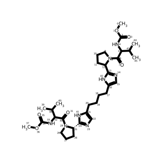 COC(=O)NC(C(=O)N1CCCC1c1ncc(CCCCc2cnc([C@@H]3CCCN3C(=O)C(NC(=O)OC)C(C)C)[nH]2)[nH]1)C(C)C